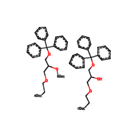 CCCCCCCCCCCCOCC(COC(c1ccccc1)(c1ccccc1)c1ccccc1)OCCCCCCCCCC.CCCCCCCCCCCCOCC(O)COC(c1ccccc1)(c1ccccc1)c1ccccc1